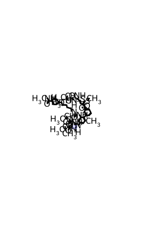 CNC(=O)c1ccc(OCCCCCNC(=O)Nc2cc(N/C(=N/C(=O)OC(C)(C)C)NC(=O)OC(C)(C)C)cc(C)c2-c2cccc(S(=O)(=O)c3cc(C(=N)NC(=O)OC(C)(C)C)sc3SC)c2)cc1